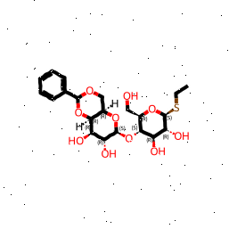 CCS[C@@H]1O[C@H](CO)[C@@H](O[C@@H]2O[C@@H]3COC(c4ccccc4)O[C@@H]3[C@H](O)[C@H]2O)[C@H](O)[C@H]1O